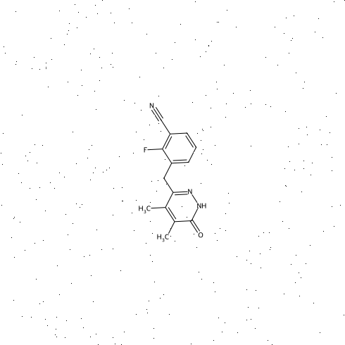 Cc1c(Cc2cccc(C#N)c2F)n[nH]c(=O)c1C